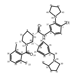 CCc1ccc(NC(=O)[C@H]2CCCN(C(=O)c3c(C)cccc3F)[C@H]2c2ccc(CN3CCCC3C)cc2)cc1N1CCCC1